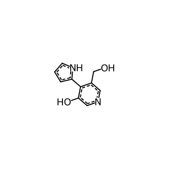 OCc1cncc(O)c1-c1ccc[nH]1